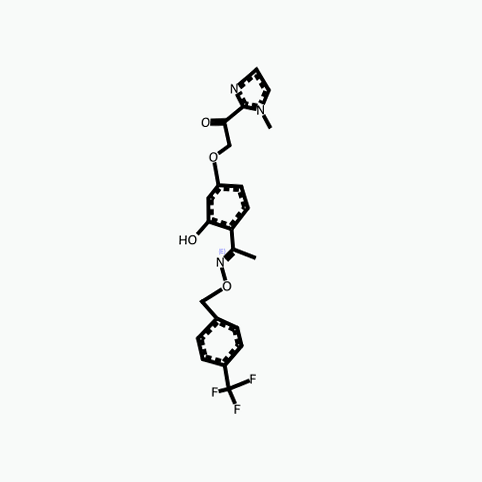 C/C(=N\OCc1ccc(C(F)(F)F)cc1)c1ccc(OCC(=O)c2nccn2C)cc1O